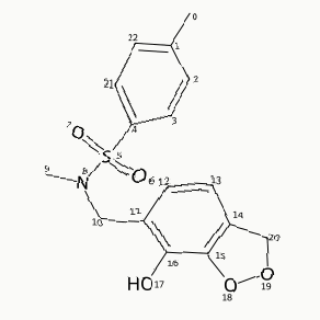 Cc1ccc(S(=O)(=O)N(C)Cc2ccc3c(c2O)OOC3)cc1